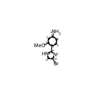 COc1cc(N)ccc1-c1nc(Br)c[nH]1